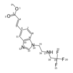 COC(=O)/C=C/c1ccc2c(c1)ncn2CCNCC(F)(F)F